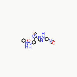 O=C(Nc1ccccc1)Nc1cccc(-c2nc3sccn3c2-c2ccnc(Nc3ccc(N4CCOCC4)cc3)n2)c1